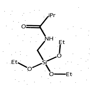 CCO[Si](CNC(=O)C(C)C)(OCC)OCC